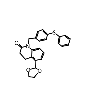 O=C1CCc2c(C3OCCO3)cccc2N1Cc1ccc(Sc2ccccc2)cc1